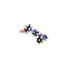 Cc1nc(N2C[C@]3(F)CN(C(=O)c4cccc(F)c4-n4nccn4)C[C@]3(F)C2)nc(C(C)(C)O)c1F